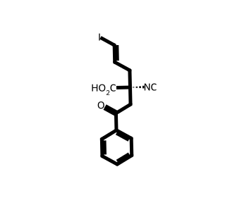 [C-]#[N+][C@](C/C=C/I)(CC(=O)c1ccccc1)C(=O)O